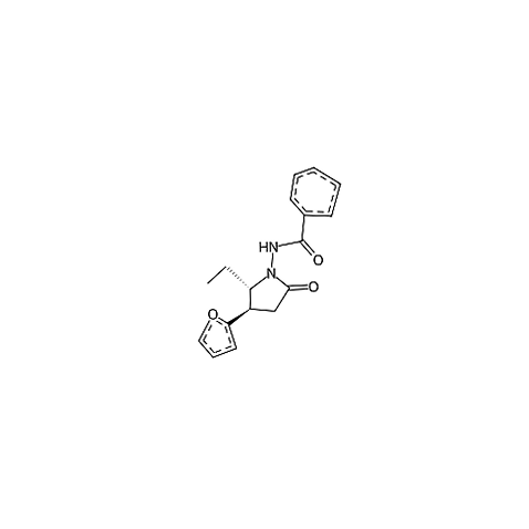 CC[C@H]1[C@H](c2ccco2)CC(=O)N1NC(=O)c1ccccc1